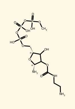 COP(=O)(O)OP(=O)(O)OP(=O)(O)OC[C@H]1O[C@@H](N)C(OC(=O)NCCN)C1O